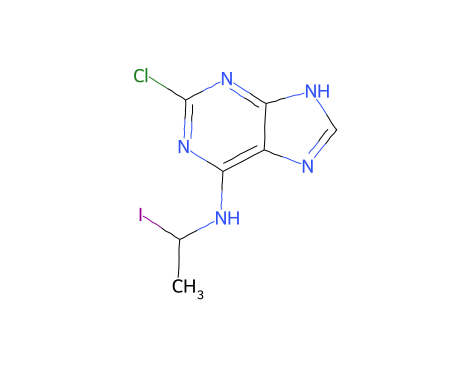 CC(I)Nc1nc(Cl)nc2[nH]cnc12